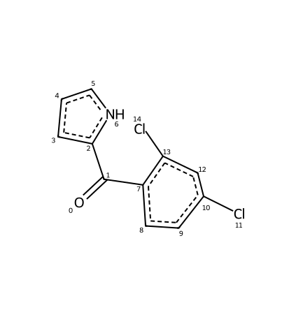 O=C(c1ccc[nH]1)c1ccc(Cl)cc1Cl